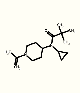 C=C(C)N1CCC(N(C(=O)C(C)(C)C)C2CC2)CC1